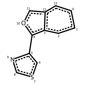 c1ccc2c(-c3cscn3)occ2c1